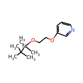 CC(C)(C)[Si](C)(C)OCCOc1cccnc1